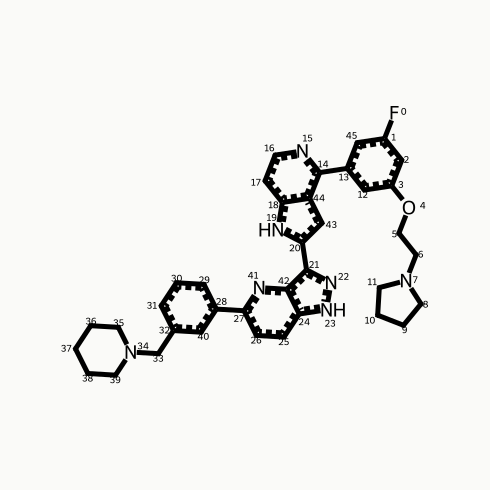 Fc1cc(OCCN2CCCC2)cc(-c2nccc3[nH]c(-c4n[nH]c5ccc(-c6cccc(CN7CCCCC7)c6)nc45)cc23)c1